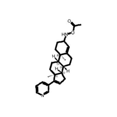 CC(=O)ONC1C=C2CC[C@H]3[C@H](CC[C@]4(C)C(c5cccnc5)=CC[C@@H]34)[C@@]2(C)CC1